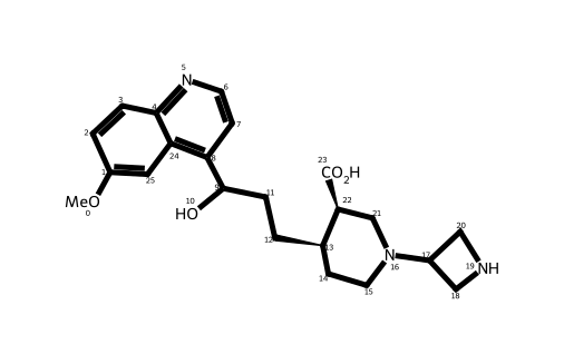 COc1ccc2nccc(C(O)CC[C@@H]3CCN(C4CNC4)C[C@@H]3C(=O)O)c2c1